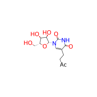 CC(=O)CCc1cn([C@@H]2O[C@H](CO)[C@@H](O)[C@H]2O)c(=O)[nH]c1=O